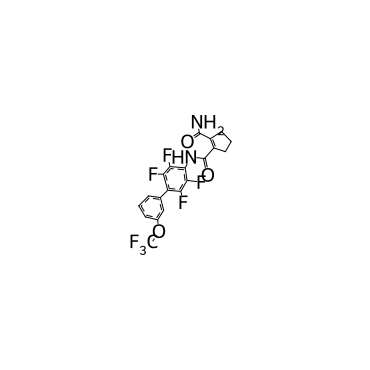 NC(=O)C1=C(C(=O)Nc2c(F)c(F)c(-c3cccc(OC(F)(F)F)c3)c(F)c2F)CCC1